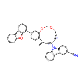 C=C1/C=C(n2c3ccccc3c3cc(C#N)ccc32)\C=C/COCOc2cc(-c3cccc4c3oc3ccccc34)ccc21